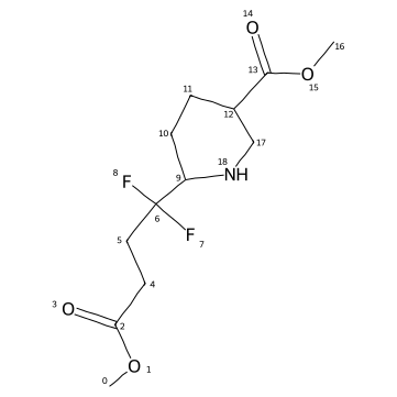 COC(=O)CCC(F)(F)C1CCC(C(=O)OC)CN1